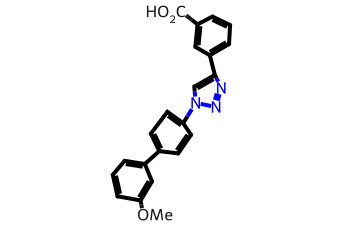 COc1cccc(-c2ccc(-n3cc(-c4cccc(C(=O)O)c4)nn3)cc2)c1